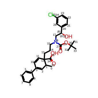 CC1C=C(c2ccccc2)C=CC1(CCCN(C[C@H](O)c1cccc(Cl)c1)C(=O)OC(C)(C)C)C(=O)O